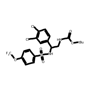 CC(C)(C)OC(=O)NCC(NS(=O)(=O)c1ccc(OC(F)(F)F)cc1)c1ccc(Cl)c(Cl)c1